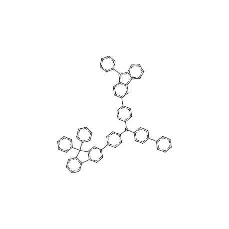 c1ccc(-c2ccc(N(c3ccc(-c4ccc5c(c4)C(c4ccccc4)(c4ccccc4)c4ccccc4-5)cc3)c3ccc(-c4ccc5c(c4)c4ccccc4n5-c4ccccc4)cc3)cc2)cc1